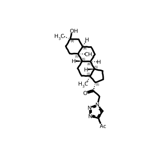 CC(=O)c1cn(CC(=O)[C@H]2CC[C@H]3[C@@H]4CC[C@@H]5C[C@](C)(O)CC[C@]5(C)[C@H]4CC[C@]23C)nn1